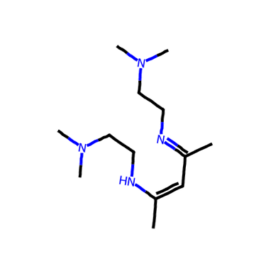 CC(=CC(C)=NCCN(C)C)NCCN(C)C